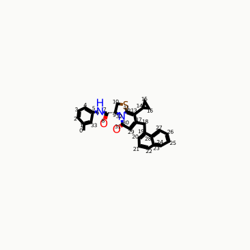 Cc1cccc(NC(=O)[C@@H]2CSc3c(C4CC4)c(Cc4cccc5ccccc45)cc(=O)n32)c1